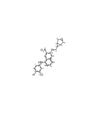 O=[N+]([O-])c1cc2c(Nc3ccc(F)c(Cl)c3)ncnc2cc1OCC1C2COCC21